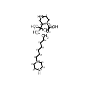 CC(C)(C)C1CNCCN1C(=O)O.CCCCCCCN1CCNCC1